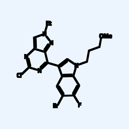 CCn1cc2nc(Cl)nc(-c3cn(CCCOC)c4cc(F)c(Br)cc34)c2n1